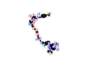 CNC(=O)N1CCc2c(c(N3CCCc4cc(-c5cnn(CCNC(=O)CCOCCOCCOCCC(=O)N[C@H](C(=O)N6C[C@H](O)C[C@H]6C(=O)NCc6ccc(-c7scnc7C)cc6)C(C)(C)C)c5)c(C(F)F)cc43)nn2C2CCOCC2)C1